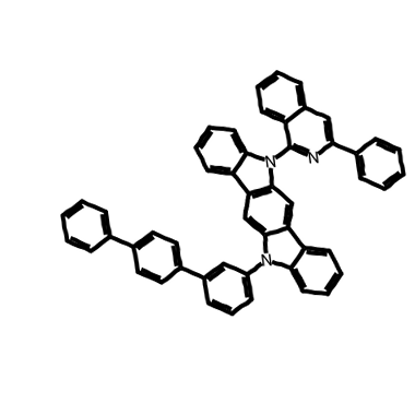 c1ccc(-c2ccc(-c3cccc(-n4c5ccccc5c5cc6c(cc54)c4ccccc4n6-c4nc(-c5ccccc5)cc5ccccc45)c3)cc2)cc1